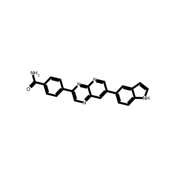 NC(=O)c1ccc(-c2cnc3cc(-c4ccc5[nH]ccc5c4)cnc3n2)cc1